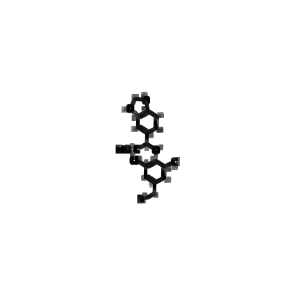 CCOC(=O)C(Oc1c(Cl)cc(CBr)cc1Cl)c1ccc2c(c1)OCO2